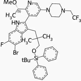 CO[C@@H](C)c1ncc(N2CCN(CC(F)(F)F)CC2)cc1-c1[nH]c2cc(F)c(Br)cc2c1CC(C)(C)CO[Si](c1ccccc1)(c1ccccc1)C(C)(C)C